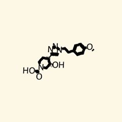 COc1ccc(CCn2cc([C@@H]3CCN(C(=O)O)C[C@H]3O)nn2)cc1